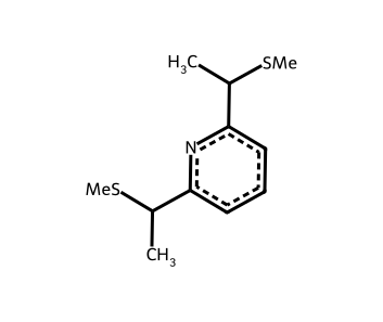 CSC(C)c1cccc(C(C)SC)n1